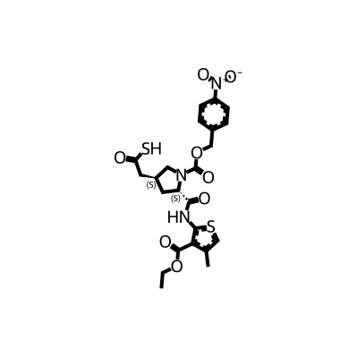 CCOC(=O)c1c(C)csc1NC(=O)[C@@H]1C[C@@H](CC(=O)S)CN1C(=O)OCc1ccc([N+](=O)[O-])cc1